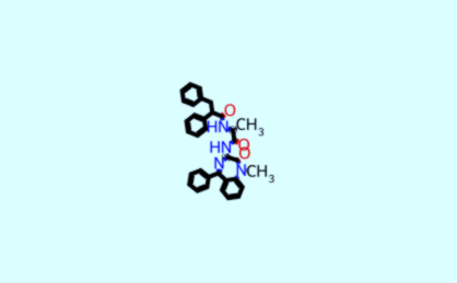 C[C@H](NC(=O)C(Cc1ccccc1)c1ccccc1)C(=O)N[C@H]1N=C(c2ccccc2)c2ccccc2N(C)C1=O